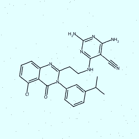 CC(C)c1cccc(-n2c(CCNc3nc(N)nc(N)c3C#N)nc3cccc(Cl)c3c2=O)c1